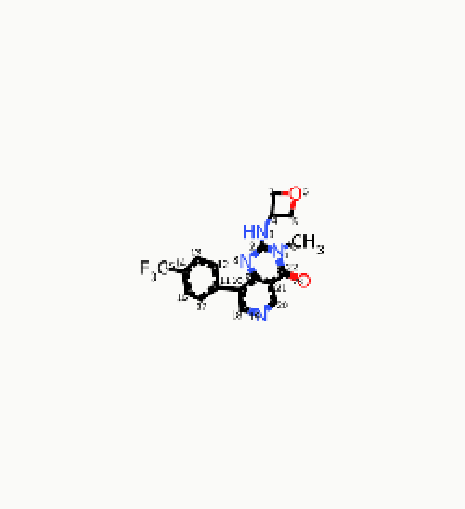 Cn1c(NC2COC2)nc2c(-c3ccc(C(F)(F)F)cc3)cncc2c1=O